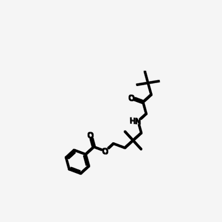 CC(C)(C)CC(=O)CNCC(C)(C)CCOC(=O)c1ccccc1